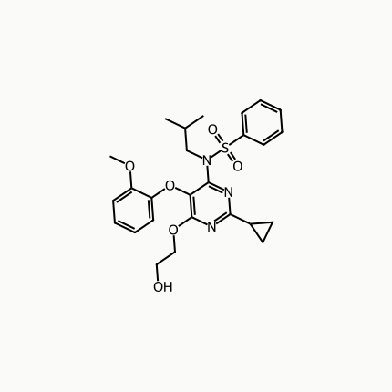 COc1ccccc1Oc1c(OCCO)nc(C2CC2)nc1N(CC(C)C)S(=O)(=O)c1ccccc1